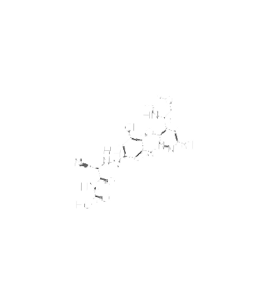 N#CC(NNc1cc(Cl)c(Oc2nnc(Cl)cc2C2COCCN2)c(Cl)c1)C(=O)NC(=O)O